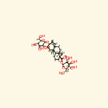 C=C1C[C@@]23CC[C@H]4[C@@](C)(CCC[C@@]4(C)C(=O)O[C@@H]4O[C@H](CO)[C@@H](O)[C@H](O)[C@H]4O)[C@@H]2CC[C@]1(O[C@@H]1O[C@H](CO)[C@@H](O)[C@H](O)[C@H]1O)C3